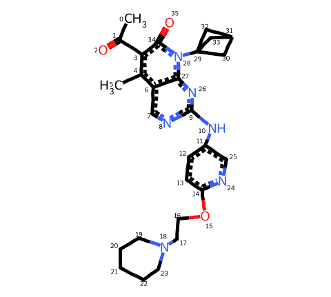 CC(=O)c1c(C)c2cnc(Nc3ccc(OCCN4CCCCC4)nc3)nc2n(C23CC(C2)C3)c1=O